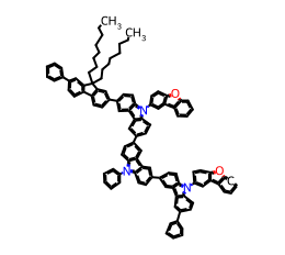 CCCCCCCCC1(CCCCCCCC)c2cc(-c3ccccc3)ccc2-c2ccc(-c3ccc4c(c3)c3cc(-c5ccc6c(c5)c5cc(-c7ccc8c(c7)c7cc(-c9ccccc9)ccc7n8-c7ccc8oc9ccccc9c8c7)ccc5n6-c5ccccc5)ccc3n4-c3ccc4oc5ccccc5c4c3)cc21